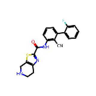 N#Cc1c(NC(=O)c2nc3c(s2)CNCC3)cccc1-c1ccccc1F